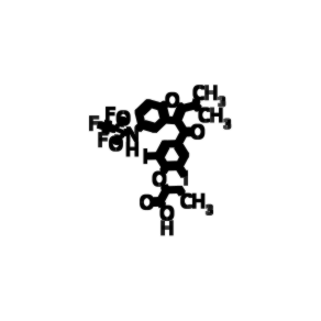 CCC(Oc1c(I)cc(C(=O)c2c(C(C)C)oc3ccc(NS(=O)(=O)C(F)(F)F)cc23)cc1I)C(=O)O